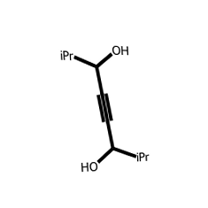 CC(C)C(O)C#CC(O)C(C)C